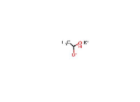 CC([O-])O.[K+]